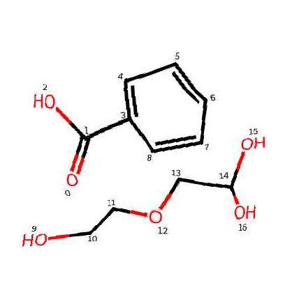 O=C(O)c1ccccc1.OCCOCC(O)O